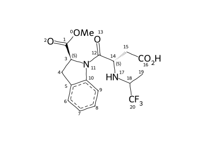 COC(=O)[C@@H]1Cc2ccccc2N1C(=O)[C@H](CC(=O)O)NC(C)C(F)(F)F